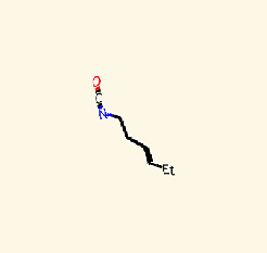 CCC=CCCN=C=O